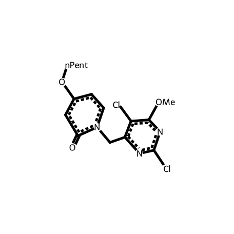 CCCCCOc1ccn(Cc2nc(Cl)nc(OC)c2Cl)c(=O)c1